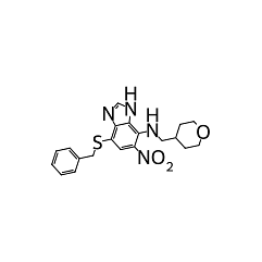 O=[N+]([O-])c1cc(SCc2ccccc2)c2nc[nH]c2c1NCC1CCOCC1